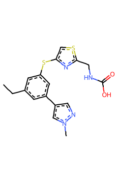 CCc1cc(Sc2csc(CNC(=O)O)n2)cc(-c2cnn(C)c2)c1